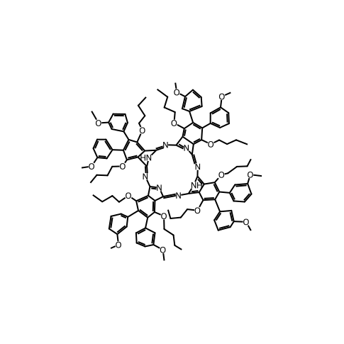 CCCCOc1c(-c2cccc(OC)c2)c(-c2cccc(OC)c2)c(OCCCC)c2c1-c1nc-2nc2[nH]c(nc3nc(nc4[nH]c(n1)c1c(OCCCC)c(-c5cccc(OC)c5)c(-c5cccc(OC)c5)c(OCCCC)c41)-c1c(OCCCC)c(-c4cccc(OC)c4)c(-c4cccc(OC)c4)c(OCCCC)c1-3)c1c(OCCCC)c(-c3cccc(OC)c3)c(-c3cccc(OC)c3)c(OCCCC)c21